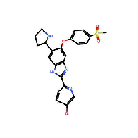 CS(=O)(=O)c1ccc(Oc2cc3nc(-c4ccc(Br)cn4)[nH]c3cc2C2CCCN2)cc1